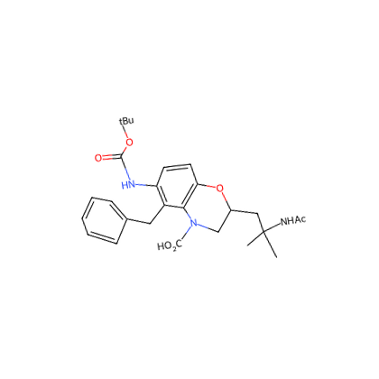 CC(=O)NC(C)(C)CC1CN(C(=O)O)c2c(ccc(NC(=O)OC(C)(C)C)c2Cc2ccccc2)O1